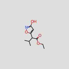 CCOC(=O)C(c1cc(O)no1)C(C)C